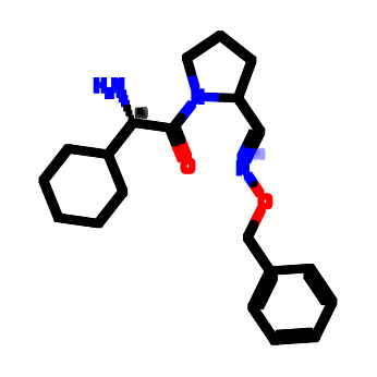 N[C@H](C(=O)N1CCCC1/C=N/OCc1ccccc1)C1CCCCC1